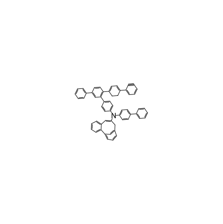 c1cccc(C2=CC=C(c3ccc(-c4ccccc4)cc3-c3ccc(N(/C4=C/c5ccccc5-c5cccc(c5)C4)c4ccc(-c5ccccc5)cc4)cc3)CC2)c#1